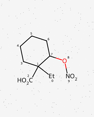 CCC1(C(=O)O)CCCCC1O[N+](=O)[O-]